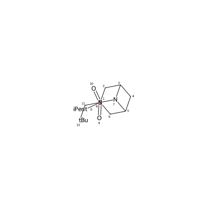 CCCC(C)N1CC2CC(C1)N2S(=O)(=O)CC(C)(C)C